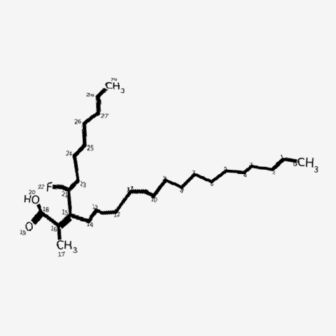 CCCCCCCCCCCCCCC/C(=C(\C)C(=O)O)C(F)CCCCCCC